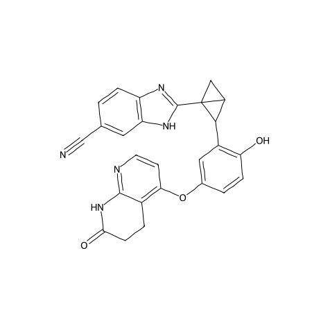 N#Cc1ccc2nc(C34CC3C4c3cc(Oc4ccnc5c4CCC(=O)N5)ccc3O)[nH]c2c1